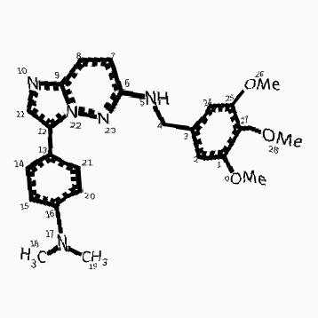 COc1cc(CNc2ccc3ncc(-c4ccc(N(C)C)cc4)n3n2)cc(OC)c1OC